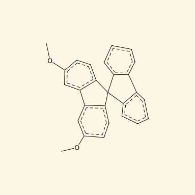 COc1ccc2c(c1)-c1cc(OC)ccc1C21c2ccccc2-c2ccccc21